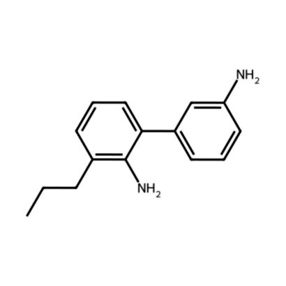 CCCc1cccc(-c2cccc(N)c2)c1N